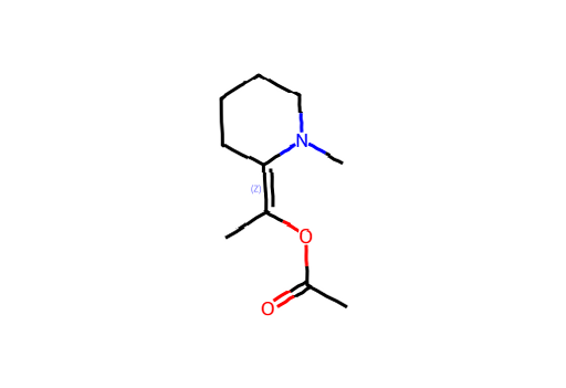 CC(=O)O/C(C)=C1/CCCCN1C